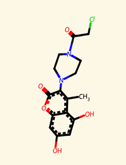 Cc1c(N2CCN(C(=O)CCl)CC2)c(=O)oc2cc(O)cc(O)c12